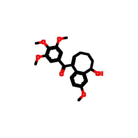 COc1ccc2c(c1)C(O)CCC/C=C\2C(=O)c1cc(OC)c(OC)c(OC)c1